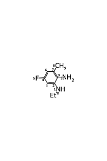 CCNc1cc(F)cc(C)c1N